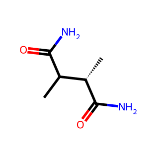 C[C](C(N)=O)[C@H](C)C(N)=O